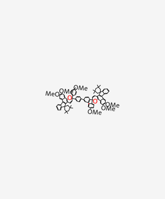 COc1ccc(C2(c3ccc(-c4ccc(C5(c6ccc(OC)cc6)C=Cc6c7c(c8cc(OC)c(OC)cc8c6O5)-c5ccccc5C75CC(C)(C)CC(C)(C)C5)cc4)cc3)C=Cc3c4c(c5cc(OC)c(OC)cc5c3O2)-c2ccccc2C42CC(C)(C)CC(C)(C)C2)cc1